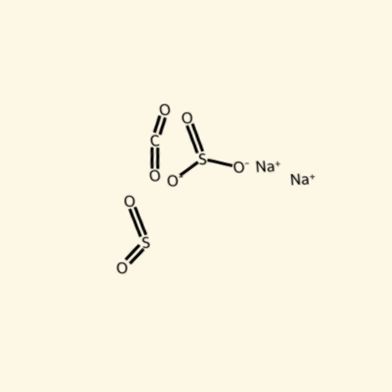 O=C=O.O=S([O-])[O-].O=S=O.[Na+].[Na+]